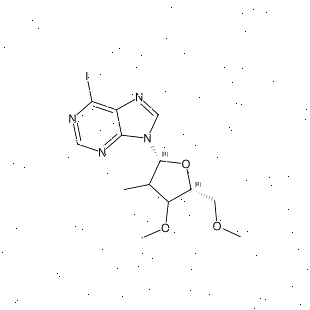 COC[C@H]1O[C@@H](n2cnc3c(I)ncnc32)C(C)C1OC